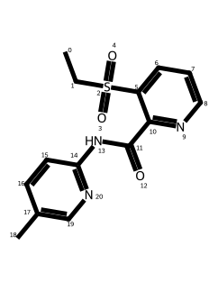 CCS(=O)(=O)c1cccnc1C(=O)Nc1ccc(C)cn1